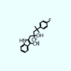 CC(C)(CC(O)(Cc1[nH]c2ccccc2c1C#N)C(F)(F)F)c1ccc(F)cc1